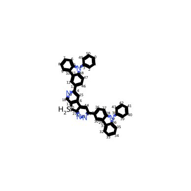 c1ccc(-n2c3ccccc3c3cc(-c4cc5c(cn4)[SiH2]c4nnc(-c6ccc7c(c6)c6ccccc6n7-c6ccccc6)cc4-5)ccc32)cc1